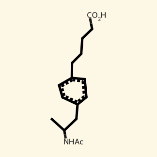 CC(=O)NC(C)Cc1ccc(CCCCC(=O)O)cc1